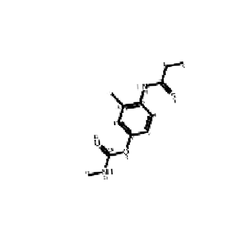 CCC(=S)Nc1ccc(OC(=O)NC)cc1C